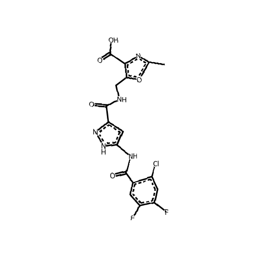 Cc1nc(C(=O)O)c(CNC(=O)c2cc(NC(=O)c3cc(F)c(F)cc3Cl)[nH]n2)o1